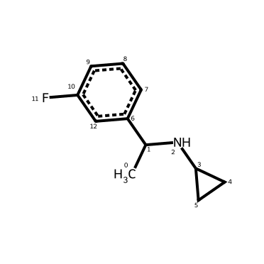 CC(NC1CC1)c1cccc(F)c1